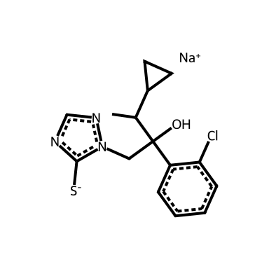 CC(C1CC1)C(O)(Cn1ncnc1[S-])c1ccccc1Cl.[Na+]